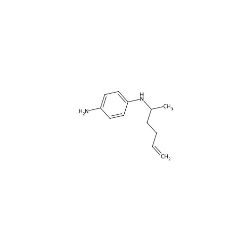 C=CCCC(C)Nc1ccc(N)cc1